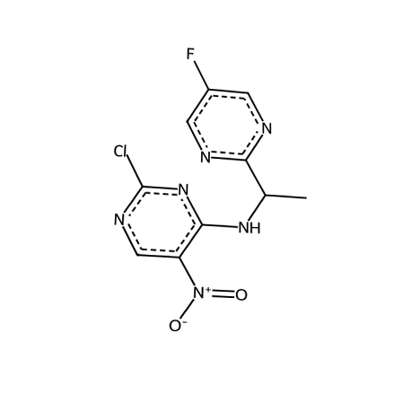 CC(Nc1nc(Cl)ncc1[N+](=O)[O-])c1ncc(F)cn1